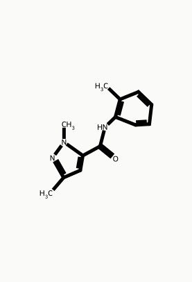 Cc1cc(C(=O)Nc2ccc[c]c2C)n(C)n1